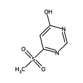 CS(=O)(=O)c1cc(O)ncn1